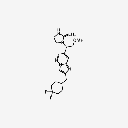 C=C1NCCN1C(COC)c1cnn2cc(CC3CCC(F)(F)CC3)nc2c1